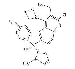 Cn1cncc1C(O)(c1ccc(C(F)(F)F)nc1)c1ccc2nc(Cl)c(CC(F)(F)F)c(N3CCC3)c2c1